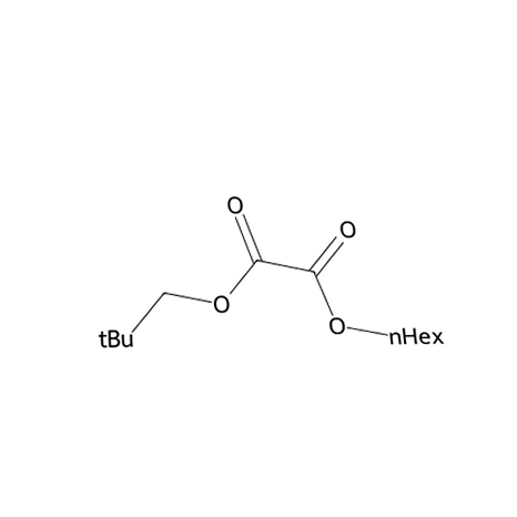 CCCCCCOC(=O)C(=O)OCC(C)(C)C